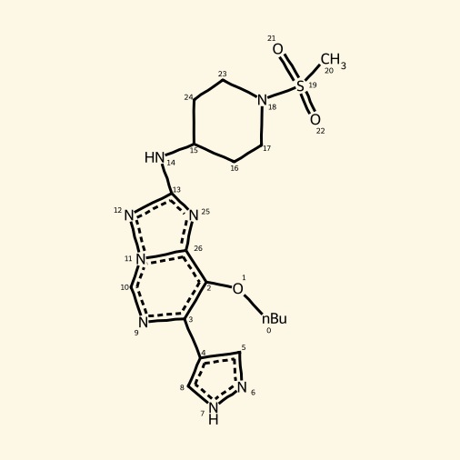 CCCCOc1c(-c2cn[nH]c2)ncn2nc(NC3CCN(S(C)(=O)=O)CC3)nc12